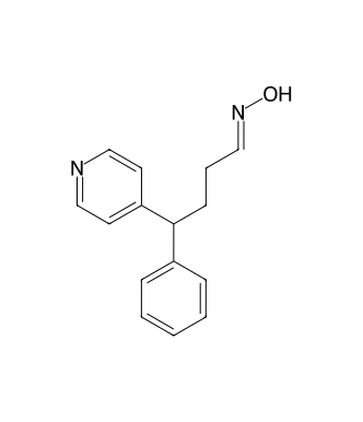 ON=CCCC(c1ccccc1)c1ccncc1